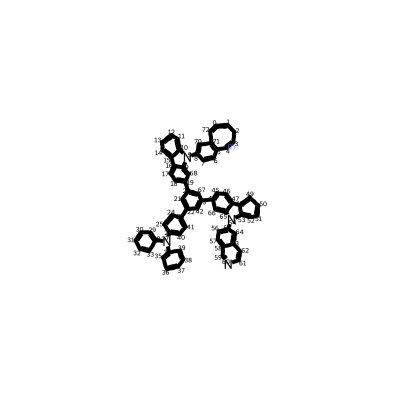 C1=CC/C=C\c2ccc(-n3c4ccccc4c4ccc(-c5cc(-c6ccc(N(c7ccccc7)c7ccccc7)cc6)cc(-c6ccc7c8ccccc8n(-c8ccc9cnccc9c8)c7c6)c5)cc43)cc2C=1